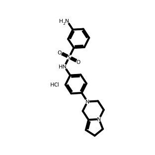 Cl.Nc1cccc(S(=O)(=O)Nc2ccc(N3CCN4CCC=C4C3)cc2)c1